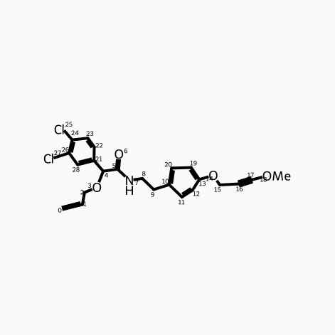 C=CCOC(C(=O)NCCc1ccc(OCC#COC)cc1)c1ccc(Cl)c(Cl)c1